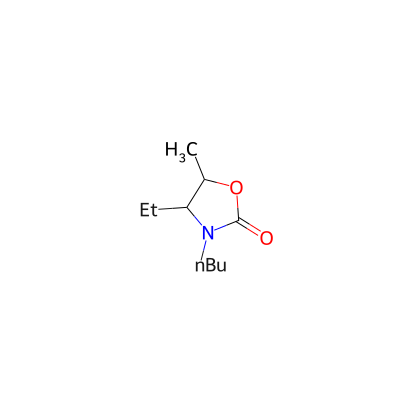 CCCCN1C(=O)OC(C)C1CC